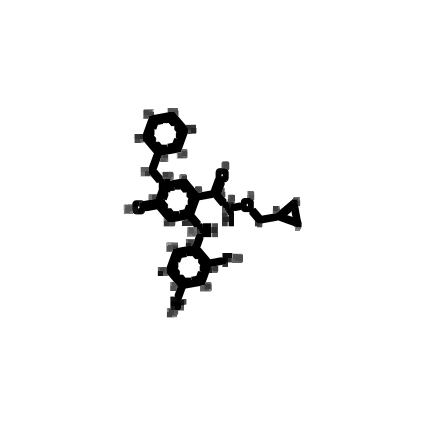 O=C(NOCC1CC1)c1cn(Cc2ccccc2)c(=O)cc1Nc1ccc(Br)cc1F